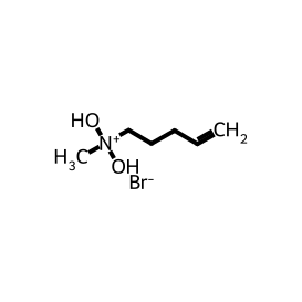 C=CCCC[N+](C)(O)O.[Br-]